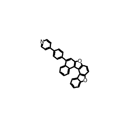 c1ccc2c(c1)oc1ccc3oc4cc(-c5ccc(-c6ccncc6)cc5)c5ccccc5c4c3c12